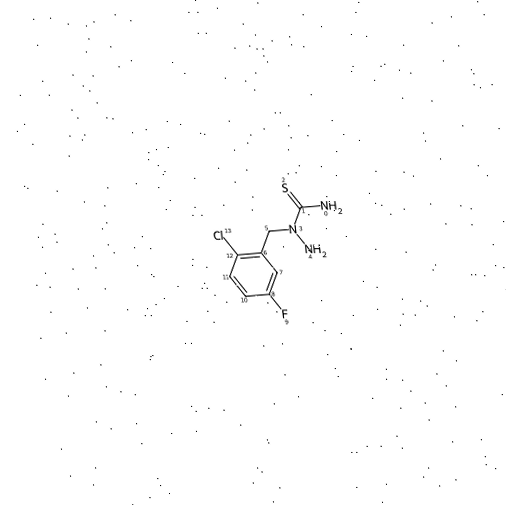 NC(=S)N(N)Cc1cc(F)ccc1Cl